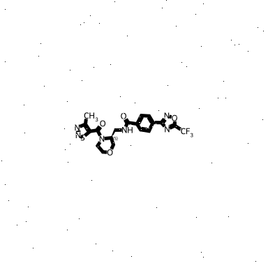 Cc1nnsc1C(=O)N1CCOC[C@@H]1CNC(=O)c1ccc(-c2noc(C(F)(F)F)n2)cc1